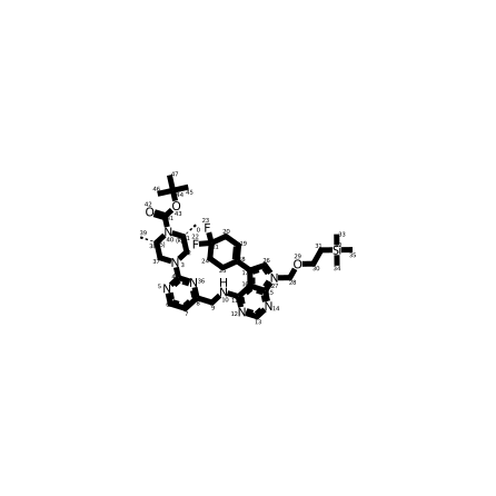 C[C@@H]1CN(c2nccc(CNc3ncnc4c3c(C3=CCC(F)(F)CC3)cn4COCC[Si](C)(C)C)n2)C[C@H](C)N1C(=O)OC(C)(C)C